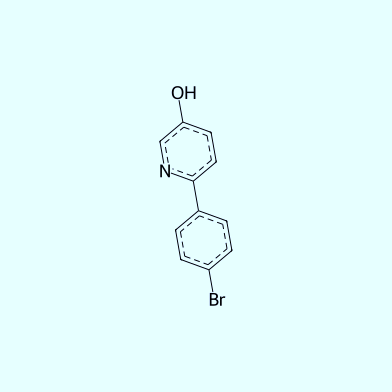 Oc1ccc(-c2ccc(Br)cc2)nc1